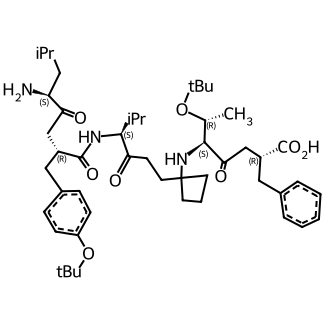 CC(C)C[C@H](N)C(=O)C[C@@H](Cc1ccc(OC(C)(C)C)cc1)C(=O)N[C@H](C(=O)CCC1(N[C@H](C(=O)C[C@@H](Cc2ccccc2)C(=O)O)[C@@H](C)OC(C)(C)C)CCC1)C(C)C